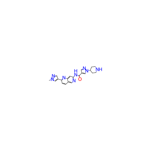 Cn1cc(-c2ccc3cnc(NC(=O)c4cnn(C5CCNCC5)c4)cc3n2)cn1